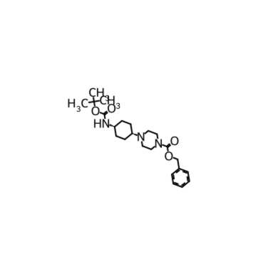 CC(C)(C)OC(=O)N[C@H]1CC[C@@H](N2CCN(C(=O)OCc3ccccc3)CC2)CC1